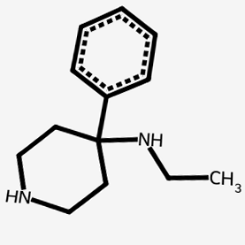 CCNC1(c2ccccc2)CCNCC1